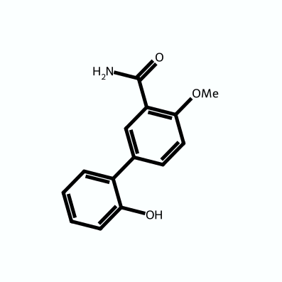 COc1ccc(-c2ccccc2O)cc1C(N)=O